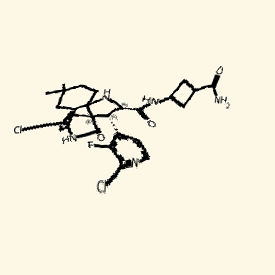 CC1(C)CCC2(CC1)N[C@@H](C(=O)NC1CC(C(N)=O)C1)[C@H](c1ccnc(Cl)c1F)[C@]21C(=O)Nc2cc(Cl)ccc21